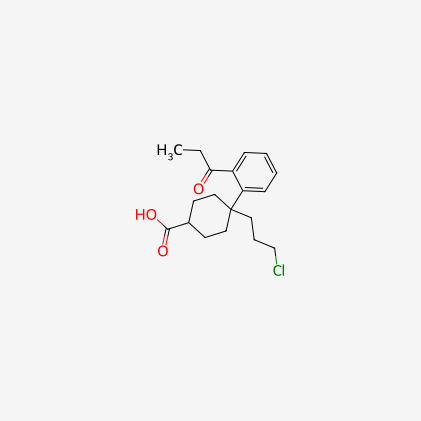 CCC(=O)c1ccccc1C1(CCCCl)CCC(C(=O)O)CC1